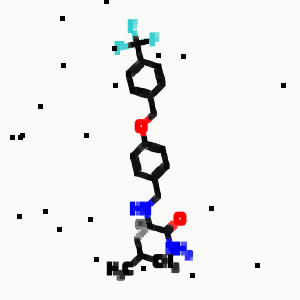 CC(C)C[C@H](NCc1ccc(OCc2ccc(C(F)(F)F)cc2)cc1)C(N)=O